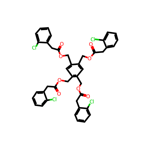 O=C(Cc1ccccc1Cl)OCc1cc(COC(=O)Cc2ccccc2Cl)c(COC(=O)Cc2ccccc2Cl)cc1COC(=O)Cc1ccccc1Cl